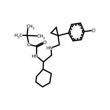 CC(C)(C)OC(=O)NC(CNCC1(c2ccc(Cl)cc2)CC1)C1CCCCC1